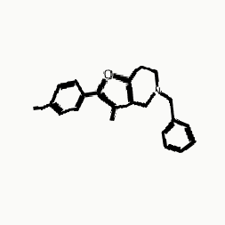 Cc1ccc(-c2oc3c(c2C)CN(Cc2ccccc2)CC3)cc1